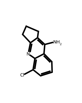 Nc1c2c(nc3c(Cl)cccc13)CCC2